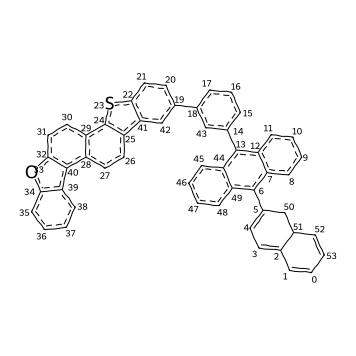 C1=CC2=CC=C(c3c4ccccc4c(-c4cccc(-c5ccc6sc7c(ccc8c7ccc7oc9ccccc9c78)c6c5)c4)c4ccccc34)CC2C=C1